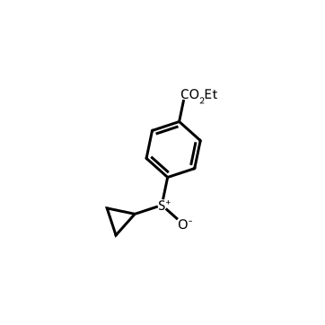 CCOC(=O)c1ccc([S+]([O-])C2CC2)cc1